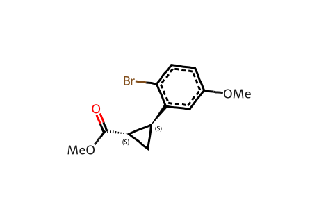 COC(=O)[C@H]1C[C@@H]1c1cc(OC)ccc1Br